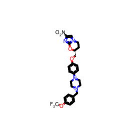 O=[N+]([O-])c1cn2c(n1)O[C@@H](COc1ccc(N3CCN(Cc4ccc(OC(F)(F)F)cc4)CC3)cc1)CC2